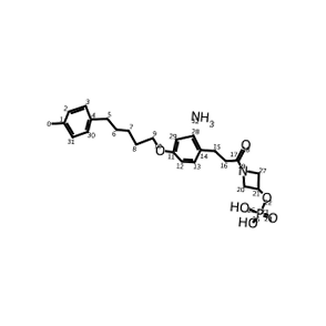 Cc1ccc(CCCCCOc2ccc(CCC(=O)N3CC(OP(=O)(O)O)C3)cc2)cc1.N